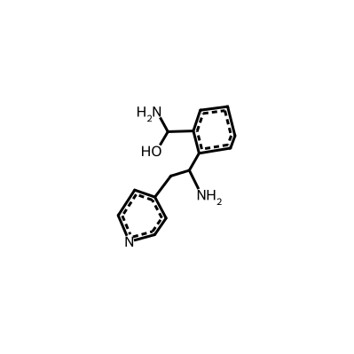 NC(O)c1ccccc1C(N)Cc1ccncc1